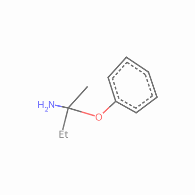 CCC(C)(N)Oc1ccccc1